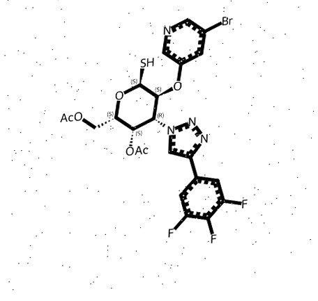 CC(=O)OC[C@@H]1O[C@@H](S)[C@@H](Oc2cncc(Br)c2)[C@H](n2cc(-c3cc(F)c(F)c(F)c3)nn2)[C@@H]1OC(C)=O